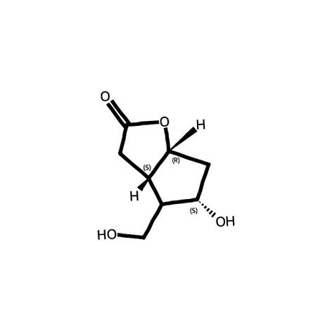 O=C1C[C@H]2C(CO)[C@@H](O)C[C@H]2O1